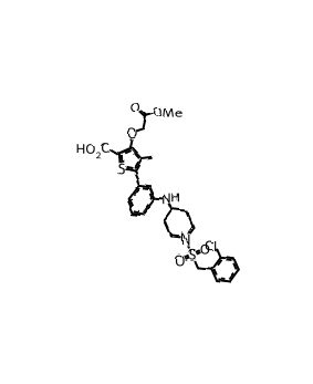 COC(=O)COc1c(C(=O)O)sc(-c2cccc(NC3CCN(S(=O)(=O)Cc4ccccc4Cl)CC3)c2)c1C